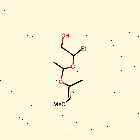 CCC(CO)OC(C)O/C(C)=C\OC